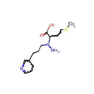 CSCCC(C(=O)O)N(N)CCCc1cccnc1